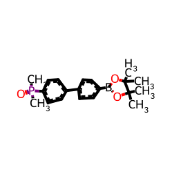 CC1(C)OB(c2ccc(-c3ccc(P(C)(C)=O)cc3)cc2)OC1(C)C